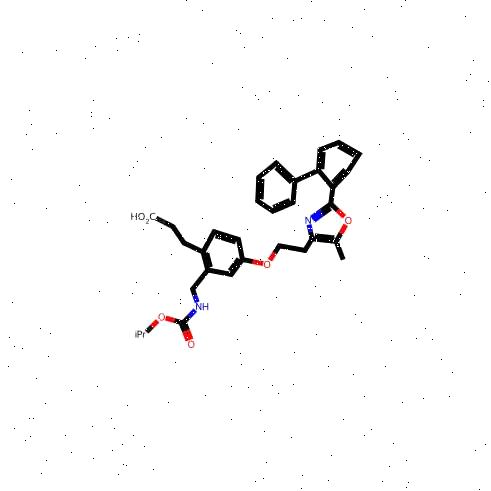 Cc1oc(-c2ccccc2-c2ccccc2)nc1CCOc1ccc(CCC(=O)O)c(CNC(=O)OC(C)C)c1